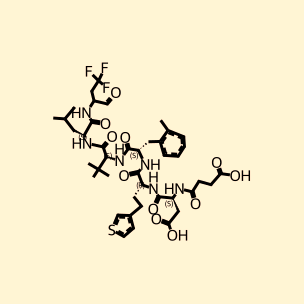 Cc1ccccc1C[C@H](NC(=O)[C@@H](CCc1ccsc1)NC(=O)[C@H](CC(=O)O)NC(=O)CCC(=O)O)C(=O)N[C@H](C(=O)N[C@@H](CC(C)C)C(=O)NC(C=O)CC(F)(F)F)C(C)(C)C